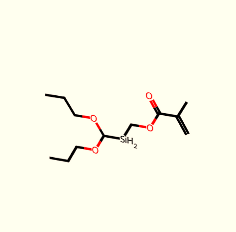 C=C(C)C(=O)OC[SiH2]C(OCCC)OCCC